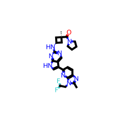 Cc1nc2ccc(-c3c[nH]c4nc(N[C@H]5C[C@](C)(C(=O)N6CCCC6)C5)ncc34)nc2n1CC(F)F